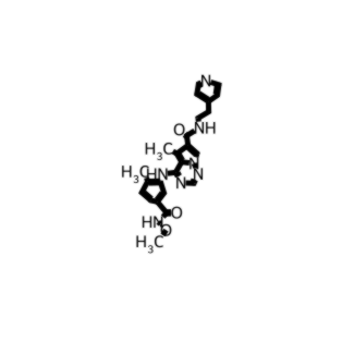 CONC(=O)c1ccc(C)c(Nc2ncnn3cc(C(=O)NCCc4ccncc4)c(C)c23)c1